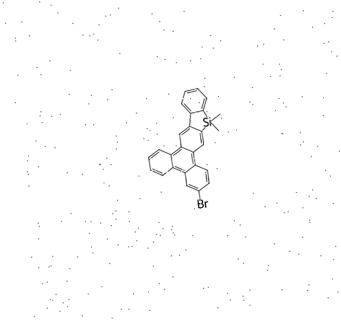 C[Si]1(C)c2ccccc2-c2cc3c4ccccc4c4cc(Br)ccc4c3cc21